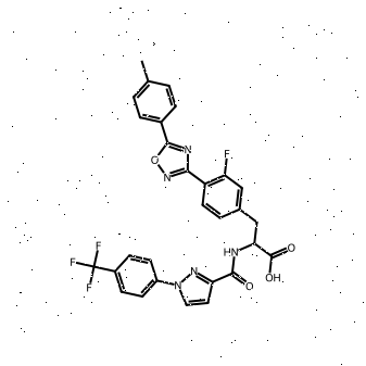 Cc1ccc(-c2nc(-c3ccc(CC(NC(=O)c4ccn(-c5ccc(C(F)(F)F)cc5)n4)C(=O)O)cc3F)no2)cc1